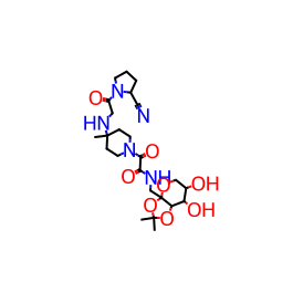 CC1(NCC(=O)N2CCCC2C#N)CCN(C(=O)C(=O)NCC23OCC(O)C(O)C2OC(C)(C)O3)CC1